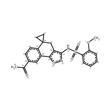 COc1ccccc1S(=O)(=O)Nc1noc2c1CC1(CC1)c1ccc(C(C)=O)cc1-2